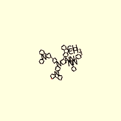 CC1(C)c2ccccc2-c2cc3c4cc(N(c5ccc(-c6ccc7c8ccccc8n(-c8ccccc8)c7c6)cc5)c5ccc(-n6c7ccccc7c7ccccc76)cc5)ccc4n(-c4nc(-c5ccccc5)nc(-c5ccccc5)n4)c3cc21